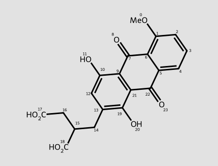 COc1cccc2c1C(=O)c1c(O)cc(CC(CC(=O)O)C(=O)O)c(O)c1C2=O